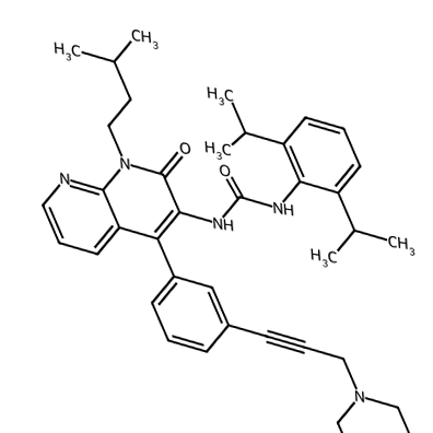 CCN(CC)CC#Cc1cccc(-c2c(NC(=O)Nc3c(C(C)C)cccc3C(C)C)c(=O)n(CCC(C)C)c3ncccc23)c1